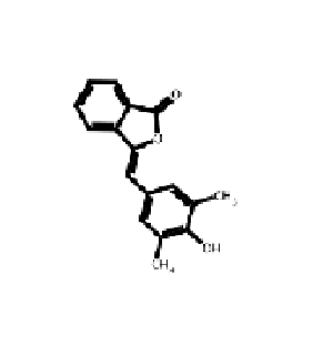 Cc1cc(C=C2OC(=O)c3ccccc32)cc(C)c1O